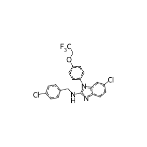 FC(F)(F)COc1ccc(-n2c(NCc3ccc(Cl)cc3)nc3ccc(Cl)cc32)cc1